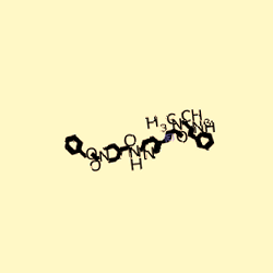 CC(c1cc2ccccc2[nH]1)N(C)C(=O)/C=C/c1ccc(NC(=O)C2CCN(C(=O)OCc3ccccc3)CC2)nc1